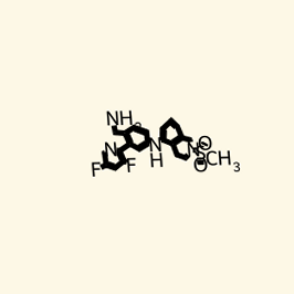 CS(=O)(=O)N1CCc2c(cccc2Nc2ccc(CN)c(-c3ncc(F)cc3F)c2)C1